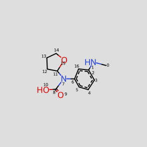 CNc1cccc(N(C(=O)O)C2CCCO2)c1